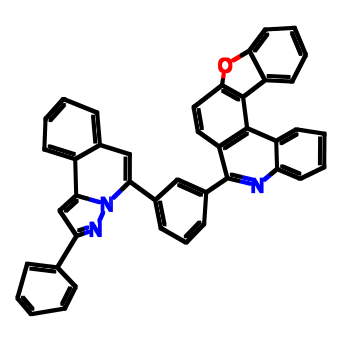 c1ccc(-c2cc3c4ccccc4cc(-c4cccc(-c5nc6ccccc6c6c5ccc5oc7ccccc7c56)c4)n3n2)cc1